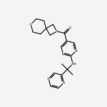 CC(C)(Nc1ncc(C(=O)N2CC3(CCOCC3)C2)cn1)c1cnccn1